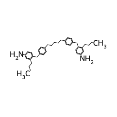 CCCCc1cc(N)ccc1Cc1ccc(CCCCCc2ccc(Cc3ccc(N)cc3CCCC)cc2)cc1